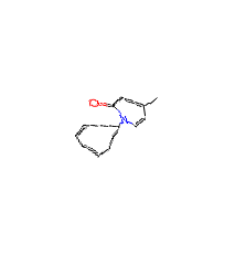 Cc1ccn(C2C=CC=CC2)c(=O)c1